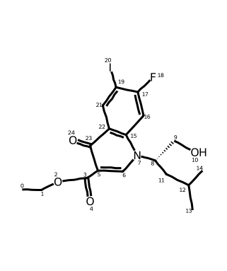 CCOC(=O)c1cn([C@H](CO)CC(C)C)c2cc(F)c(I)cc2c1=O